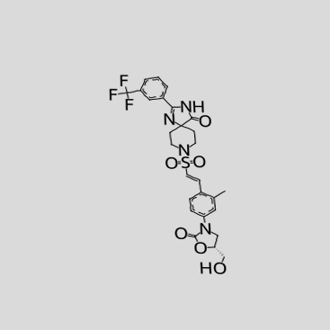 Cc1cc(N2C[C@H](CO)OC2=O)ccc1/C=C/S(=O)(=O)N1CCC2(CC1)N=C(c1cccc(C(F)(F)F)c1)NC2=O